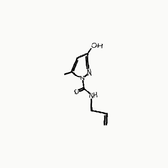 C=CCNC(=O)n1nc(O)cc1C